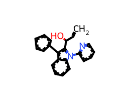 C=CC(O)c1c(-c2ccccc2)c2ccccc2n1-c1ccccn1